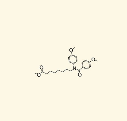 COC(=O)CCCCCCCN(C(=O)c1ccc(OC)cc1)c1ccc(OC)cc1